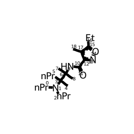 CCCN(CCC)C(C)(CCC)C(C)(C)NC(=O)c1noc(CC)c1C